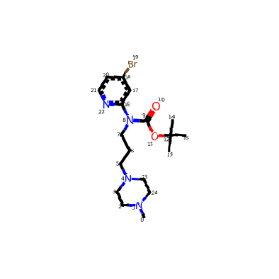 CN1CCN(CCCN(C(=O)OC(C)(C)C)c2cc(Br)ccn2)CC1